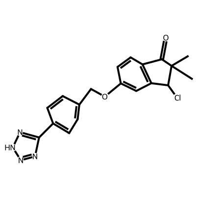 CC1(C)C(=O)c2ccc(OCc3ccc(-c4nn[nH]n4)cc3)cc2C1Cl